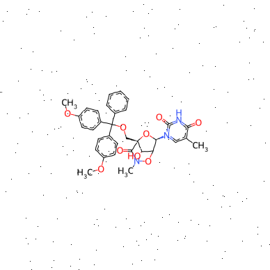 COc1ccc(C(OC[C@]23O[C@@H](n4cc(C)c(=O)[nH]c4=O)C(ON(C)C2=O)C3O)(c2ccccc2)c2ccc(OC)cc2)cc1